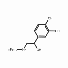 CCCCCNCC(O)c1ccc(O)c(O)c1